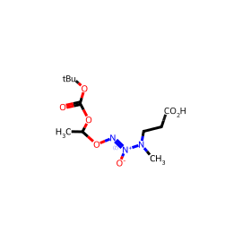 CC(O/N=[N+](\[O-])N(C)CCC(=O)O)OC(=O)OC(C)(C)C